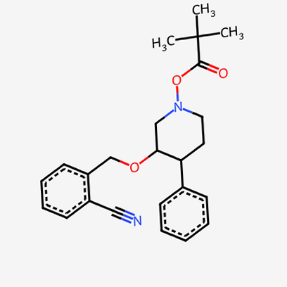 CC(C)(C)C(=O)ON1CCC(c2ccccc2)C(OCc2ccccc2C#N)C1